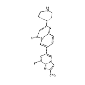 Cc1cn2cc(-c3ccc4nc(C5CCNCC5)cc(=O)n4c3)cc(F)c2n1